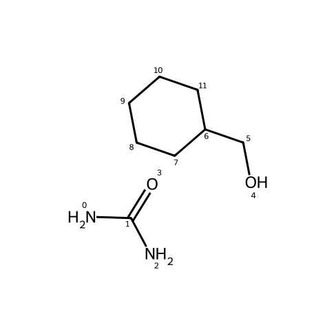 NC(N)=O.OCC1CCCCC1